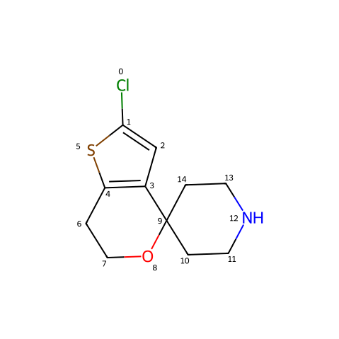 Clc1cc2c(s1)CCOC21CCNCC1